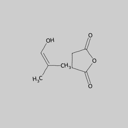 CC(C)=CO.O=C1CCC(=O)O1